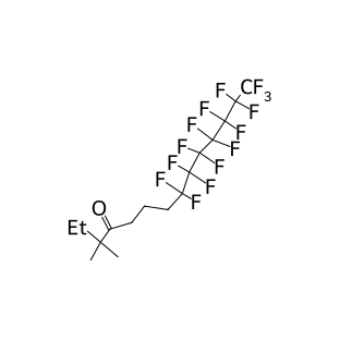 CCC(C)(C)C(=O)CCCC(F)(F)C(F)(F)C(F)(F)C(F)(F)C(F)(F)C(F)(F)C(F)(F)F